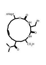 CCCCCCCC1CCC=CCC(C(=O)N(C)C)CC(C(=O)O)NC(=O)C(CC(C)C)NC(=O)O1